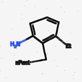 CCCCCCc1c(N)cccc1CC